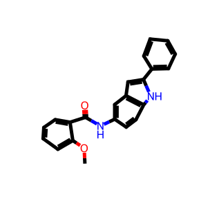 COc1ccccc1C(=O)Nc1ccc2[nH]c(-c3ccccc3)cc2c1